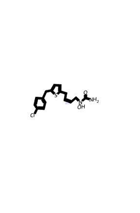 NC(=O)N(O)C/C=C\Cc1ccc(Cc2ccc(Cl)cc2)s1